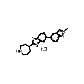 Cl.Cn1cc2cc(-c3ccc4nc(C5CCCNCC5)sc4c3)ccc2n1